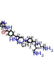 C=C1N=c2[nH]c(-c3ccc(C(=O)NC4CN5CCC4CC5)cc3)cc2=CN1c1ccc(CN(CCCN)CCCN)cc1